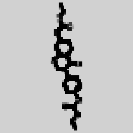 CCOC(=O)OC1=CCC2C(=O)C(c3ccc(OC(=O)OCC)cc3)COC2=C1